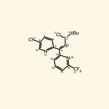 CC(C)(C)[S+]([O-])/N=C(\c1ccc(Cl)cn1)c1cccc(C(F)(F)F)n1